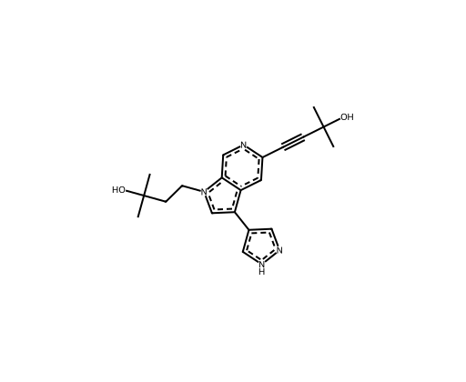 CC(C)(O)C#Cc1cc2c(-c3cn[nH]c3)cn(CCC(C)(C)O)c2cn1